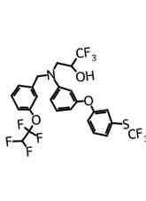 OC(CN(Cc1cccc(OC(F)(F)C(F)F)c1)c1cccc(Oc2cccc(SC(F)(F)F)c2)c1)C(F)(F)F